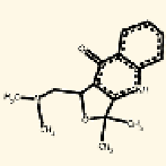 CN(C)CC1OC(C)(C)c2[nH]c3ccccc3c(=O)c21